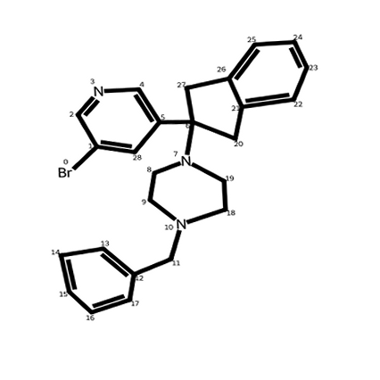 Brc1cncc(C2(N3CCN(Cc4ccccc4)CC3)Cc3ccccc3C2)c1